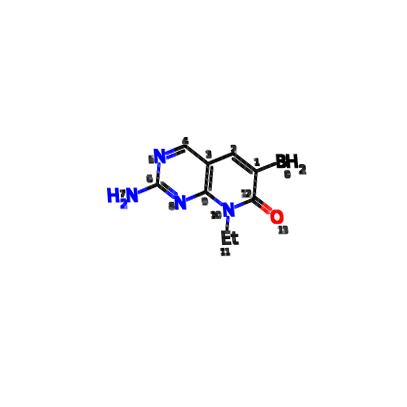 Bc1cc2cnc(N)nc2n(CC)c1=O